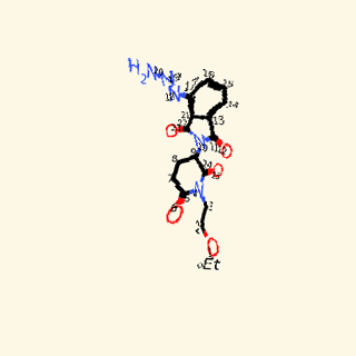 CCOCCN1C(=O)CCC(N2C(=O)c3cccc(N=NN)c3C2=O)C1=O